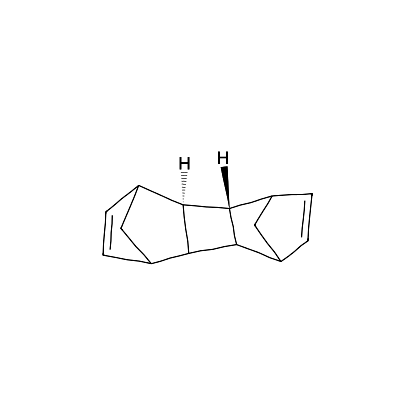 C1=CC2CC1C1C3C4C=CC(C4)[C@H]3[C@H]21